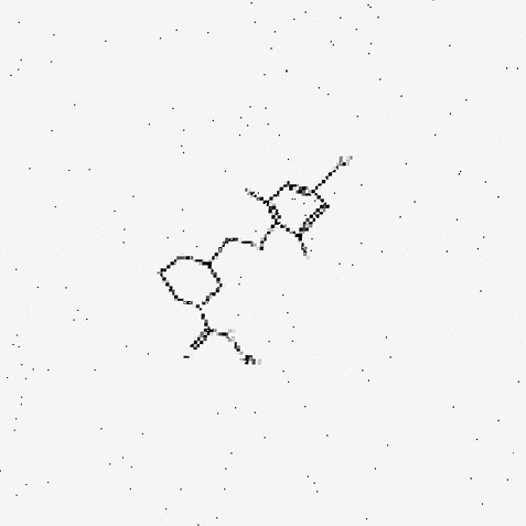 Cc1cc(Br)cc(C)c1OCC1CCCN(C(=O)OC(C)(C)C)C1